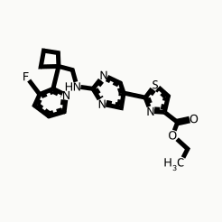 CCOC(=O)c1csc(-c2cnc(NCC3(c4ncccc4F)CCC3)nc2)n1